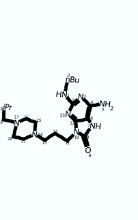 CCCCNc1nc(N)c2[nH]c(=O)n(CCCN3CCN(CC(C)C)CC3)c2n1